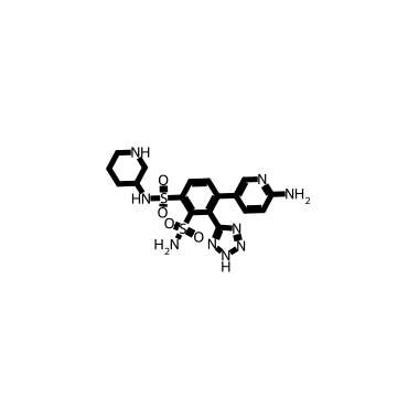 Nc1ccc(-c2ccc(S(=O)(=O)NC3CCCNC3)c(S(N)(=O)=O)c2-c2nn[nH]n2)cn1